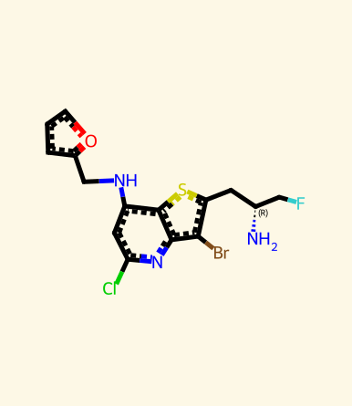 N[C@@H](CF)Cc1sc2c(NCc3ccco3)cc(Cl)nc2c1Br